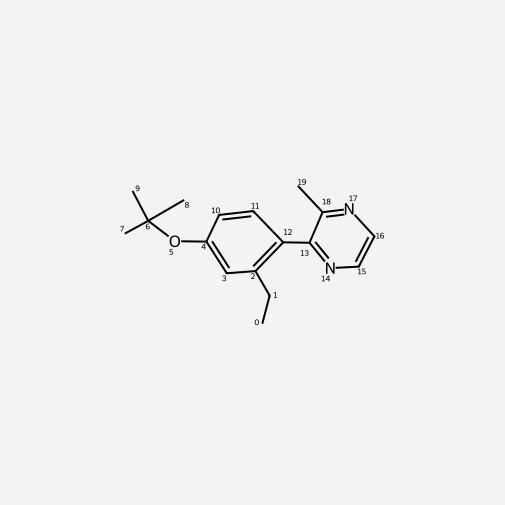 CCc1cc(OC(C)(C)C)ccc1-c1nccnc1C